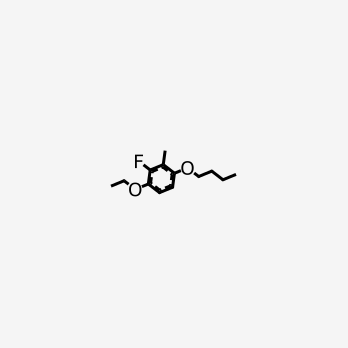 CCCCOc1ccc(OCC)c(F)c1C